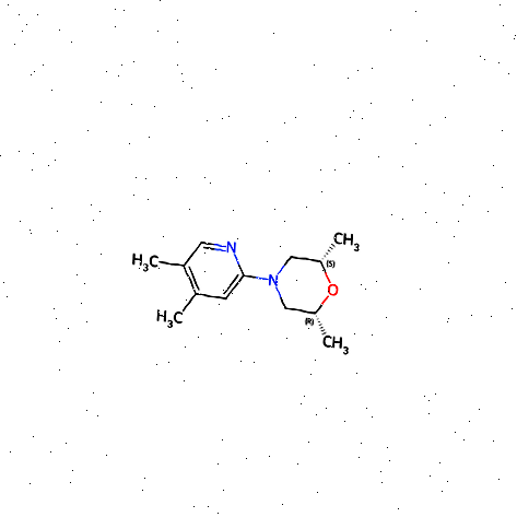 Cc1cnc(N2C[C@@H](C)O[C@@H](C)C2)cc1C